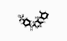 Cc1ccccc1Nc1nc(Nc2ccc(P(C)(C)=O)cc2)nnc1C